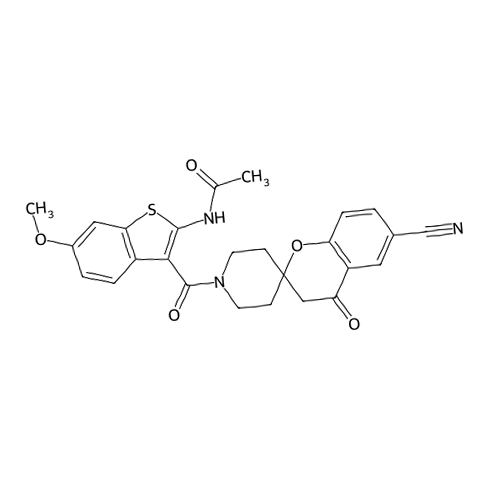 COc1ccc2c(C(=O)N3CCC4(CC3)CC(=O)c3cc(C#N)ccc3O4)c(NC(C)=O)sc2c1